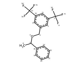 CC(OCc1cc(C(F)(F)F)cc(C(F)(F)F)c1)c1ccccc1